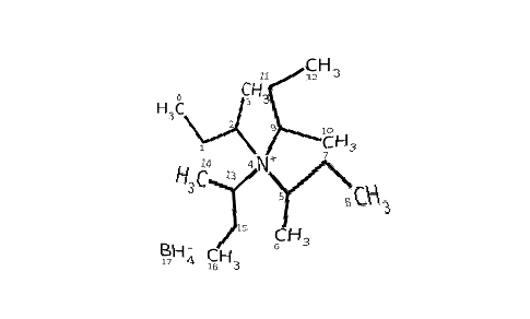 CCC(C)[N+](C(C)CC)(C(C)CC)C(C)CC.[BH4-]